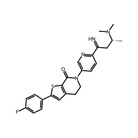 C[C@H](CC(=N)c1ccc(N2CCc3cc(-c4ccc(F)cc4)sc3C2=O)cn1)N(C)C